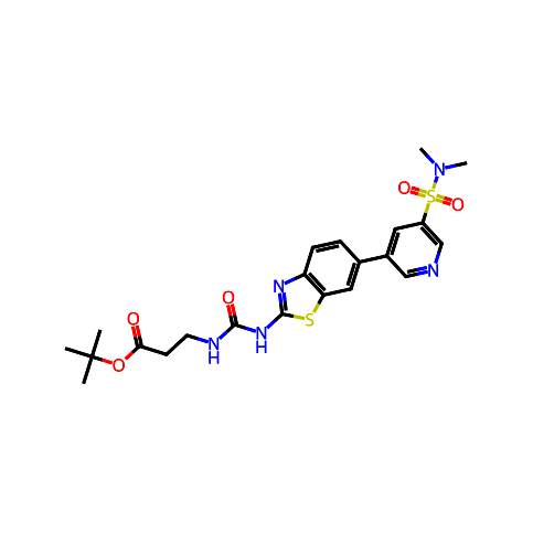 CN(C)S(=O)(=O)c1cncc(-c2ccc3nc(NC(=O)NCCC(=O)OC(C)(C)C)sc3c2)c1